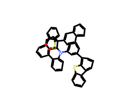 c1cc(-c2cccc3c2sc2ccccc23)cc(N(c2ccccc2-c2ccc3ccccc3c2)c2ccccc2-c2cccc3c2sc2ccccc23)c1